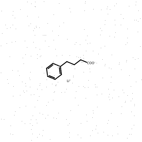 O=C([O-])CCCc1ccccc1.[Li+]